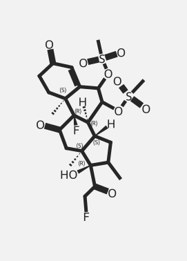 CC1C[C@H]2[C@@H]3C(OS(C)(=O)=O)C(OS(C)(=O)=O)C4=CC(=O)CC[C@]4(C)[C@@]3(F)C(=O)C[C@]2(C)[C@@]1(O)C(=O)CF